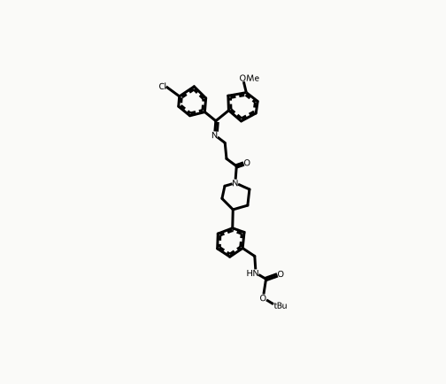 COc1cccc(/C(=N\CCC(=O)N2CCC(c3cccc(CNC(=O)OC(C)(C)C)c3)CC2)c2ccc(Cl)cc2)c1